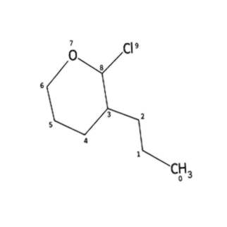 CCCC1CCCOC1Cl